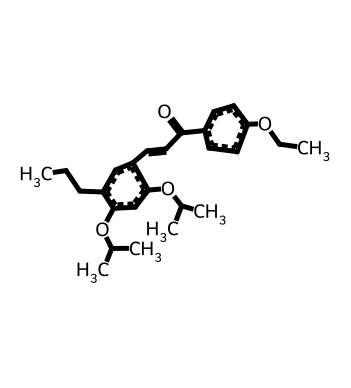 CCCc1cc(/C=C/C(=O)c2ccc(OCC)cc2)c(OC(C)C)cc1OC(C)C